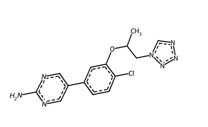 CC(Cn1cnnn1)Oc1cc(-c2cnc(N)nc2)ccc1Cl